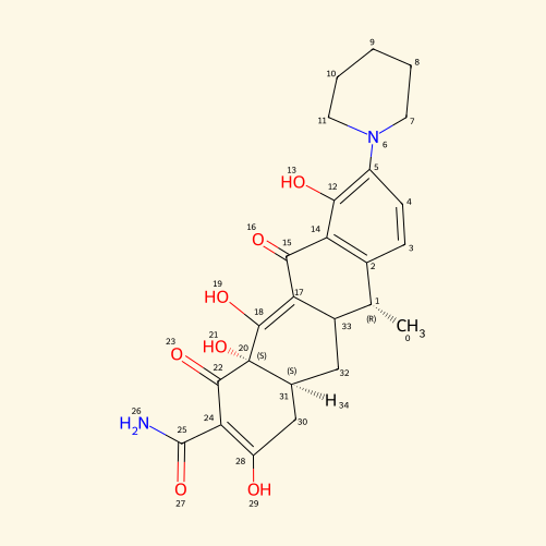 C[C@H]1c2ccc(N3CCCCC3)c(O)c2C(=O)C2=C(O)[C@]3(O)C(=O)C(C(N)=O)=C(O)C[C@@H]3CC21